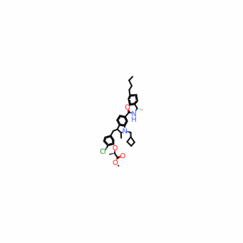 CCCCc1ccc([C@H](C)NC(=O)c2ccc3c(c2)N(CC2CCC2)C(C)C3Cc2ccc(Cl)c(O[C@H](C)C(=O)OC)c2)cc1